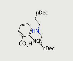 CCCCCCCCCCCCNCCCCCCCCCCCC.O=C(O)c1ccccc1[N+](=O)[O-]